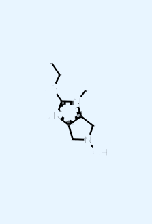 CCOc1nc2c(n1C)CN(O)C2